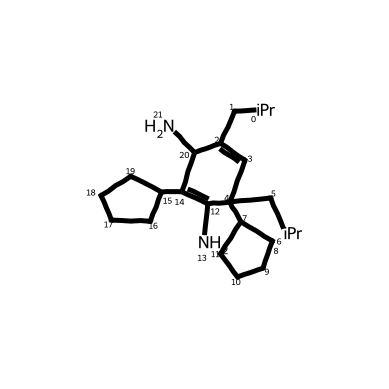 CC(C)CC1=CC(CC(C)C)(C2CCCC2)C(N)=C(C2CCCC2)C1N